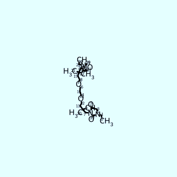 CCN1CC(=O)N(CC(C)(C)CCOCCCOCCC(C)(C)CN2C3CN(CC)C2O3)C1=O